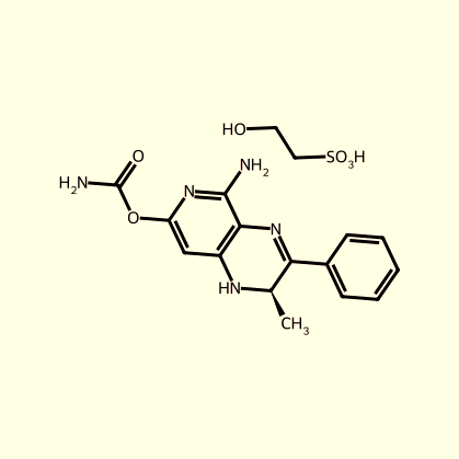 C[C@H]1Nc2cc(OC(N)=O)nc(N)c2N=C1c1ccccc1.O=S(=O)(O)CCO